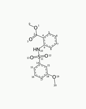 COC(=O)c1ccccc1NS(=O)(=O)c1cccc(OC)c1